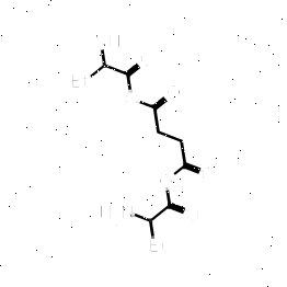 CCC(N)C(=O)OC(=O)CCC(=O)OC(=O)C(N)CC